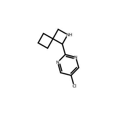 Clc1cnc(C2NCC23CCC3)nc1